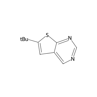 CC(C)(C)c1cc2cncnc2s1